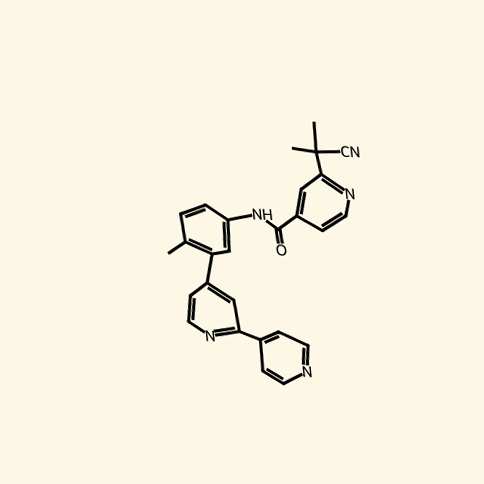 Cc1ccc(NC(=O)c2ccnc(C(C)(C)C#N)c2)cc1-c1ccnc(-c2ccncc2)c1